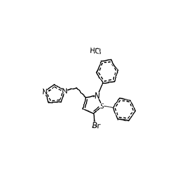 BrC1=S(c2ccccc2)N(c2ccccc2)C(Cn2ccnc2)=C1.Cl